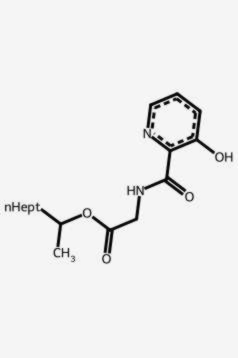 CCCCCCCC(C)OC(=O)CNC(=O)c1ncccc1O